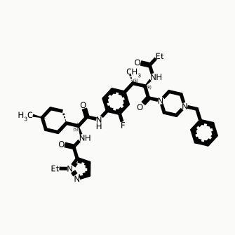 CCC(=O)N[C@@H](C(=O)N1CCN(Cc2ccccc2)CC1)[C@@H](C)c1ccc(NC(=O)[C@@H](NC(=O)c2ccnn2CC)[C@H]2CC[C@H](C)CC2)c(F)c1